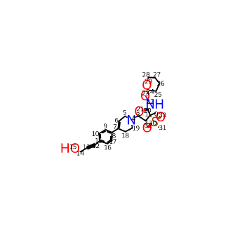 CC(CCN1CC=C(c2ccc(C#CCO)cc2)CC1)(C(=O)NOC1CCCCO1)S(C)(=O)=O